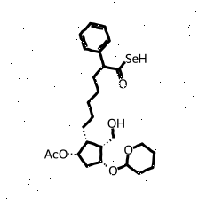 CC(=O)O[C@H]1C[C@@H](OC2CCCCO2)[C@@H](CO)[C@H]1CCCCCC(C(=O)[SeH])c1ccccc1